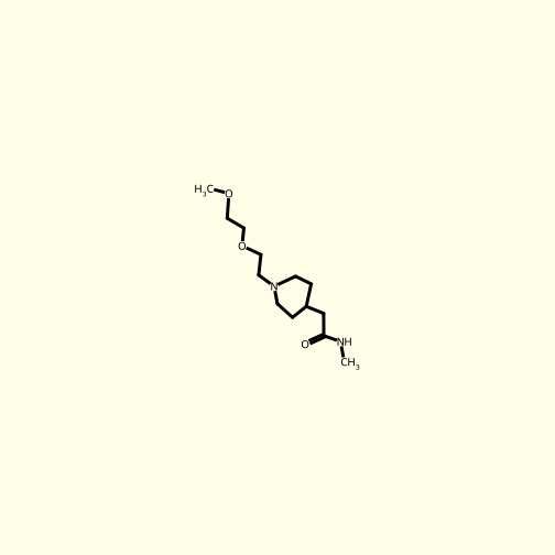 CNC(=O)CC1CCN(CCOCCOC)CC1